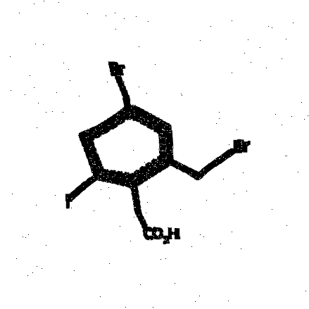 O=C(O)c1c(I)cc(Br)cc1CBr